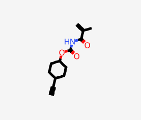 C#CC1CCC(OC(=O)NC(=O)C(=C)C)CC1